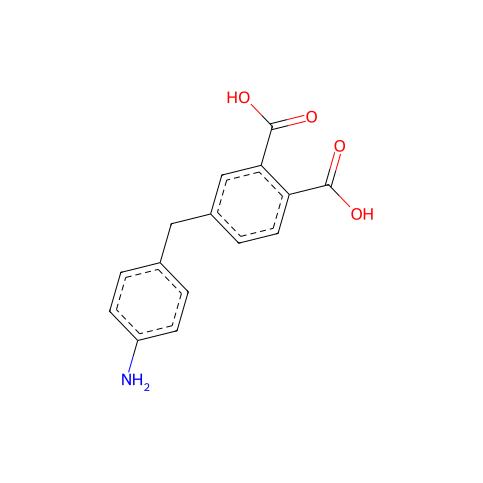 Nc1ccc(Cc2ccc(C(=O)O)c(C(=O)O)c2)cc1